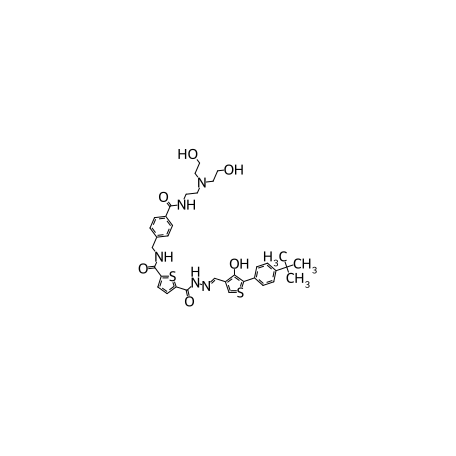 CC(C)(C)c1ccc(-c2scc(/C=N/NC(=O)c3ccc(C(=O)NCc4ccc(C(=O)NCCN(CCO)CCO)cc4)s3)c2O)cc1